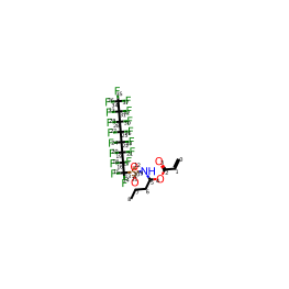 C=CC(=O)OC(CCC)NS(=O)(=O)C(F)(F)C(F)(F)C(F)(F)C(F)(F)C(F)(F)C(F)(F)C(F)(F)C(F)(F)F